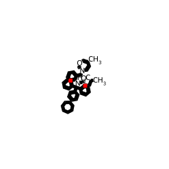 C1CCCCCC1.CC1=COCN(Cc2ccccc2N(C(=O)OCC(C)C)C(c2ccccc2)(c2ccccc2)c2ccccc2)C=C1